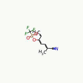 C=C/C(=C\C=C(/C)C#N)OS(=O)(=O)C(F)(F)F